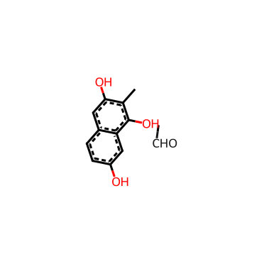 CC=O.Cc1c(O)cc2ccc(O)cc2c1O